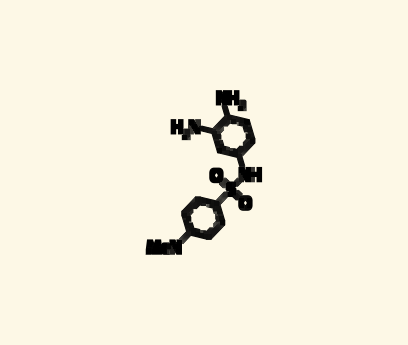 CNc1ccc(S(=O)(=O)Nc2ccc(N)c(N)c2)cc1